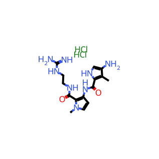 Cc1c(N)c[nH]c1C(=O)Nc1ccn(C)c1C(=O)NCCNC(=N)N.Cl.Cl